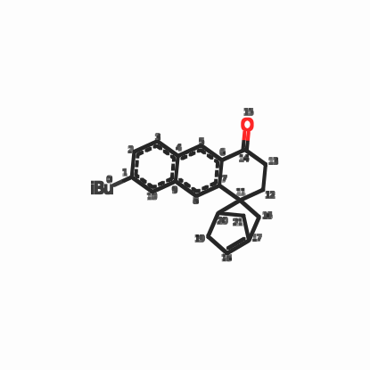 CCC(C)c1ccc2cc3c(cc2c1)C1(CCC3=O)CC2=CCC1C2